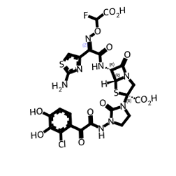 Nc1nc(/C(=N/OC(F)C(=O)O)C(=O)N[C@@H]2C(=O)N3C[C@@](C(=O)O)(N4CCN(NC(=O)C(=O)c5ccc(O)c(O)c5Cl)C4=O)S[C@H]23)cs1